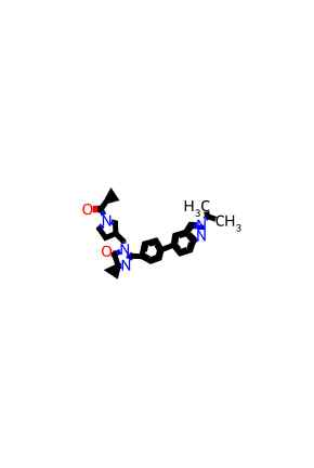 CC(C)n1cc2cc(-c3ccc(C4=NC5(CC5)C(=O)N4CC4CCN(C(=O)C5CC5)C4)cc3)ccc2n1